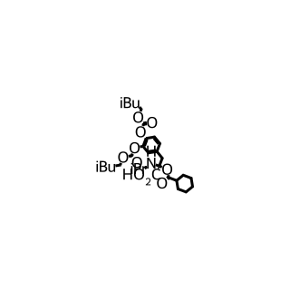 CCC(C)COC(=O)Oc1ccc(C[C@](NC(C)C)(OC(=O)C2CCCCC2)C(=O)O)cc1OC(=O)OCC(C)CC